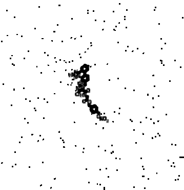 CCCCc1nc(Cl)c(C(=O)NCC(=O)OCc2ccc(CO[N+](=O)[O-])cc2)n1Cc1ccc(-c2ccccc2-c2nn[nH]n2)cc1